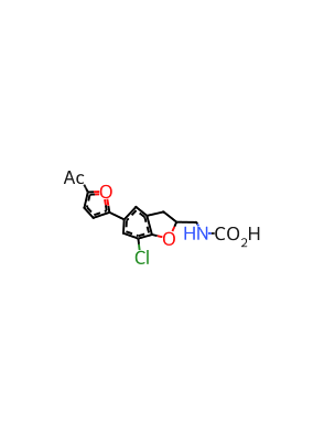 CC(=O)c1ccc(-c2cc(Cl)c3c(c2)CC(CNC(=O)O)O3)o1